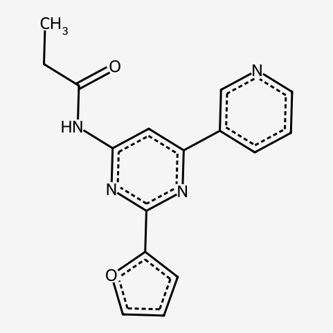 CCC(=O)Nc1cc(-c2cccnc2)nc(-c2ccco2)n1